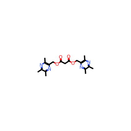 Cc1nc(C)c(COC(=O)CC(=O)OCc2nc(C)c(C)nc2C)nc1C